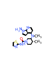 C[C@@H]1CCN(C(=O)Nc2nccs2)CC1N(C)c1ccnc2c1ccn2N